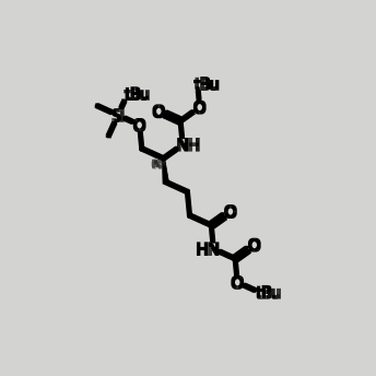 CC(C)(C)OC(=O)NC(=O)CCC[C@@H](CO[Si](C)(C)C(C)(C)C)NC(=O)OC(C)(C)C